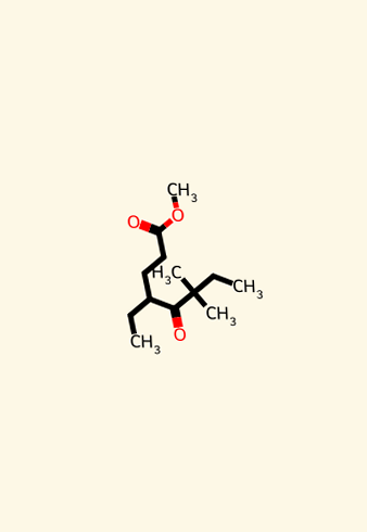 CCC(CCC(=O)OC)C(=O)C(C)(C)CC